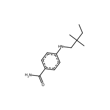 CCC(C)(C)CNc1ccc(C(N)=O)cc1